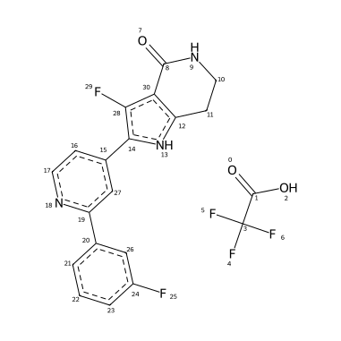 O=C(O)C(F)(F)F.O=C1NCCc2[nH]c(-c3ccnc(-c4cccc(F)c4)c3)c(F)c21